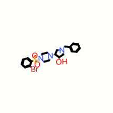 O=S(=O)(c1ccccc1Br)N1CCN([C@@H]2CN(Cc3ccccc3)C[C@H]2O)CC1